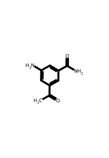 CC(=O)c1cc(N)cc(C(N)=O)c1